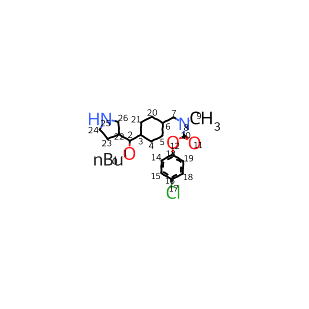 CCCCOC(C1CCC(CN(C)C(=O)Oc2ccc(Cl)cc2)CC1)C1CCNC1